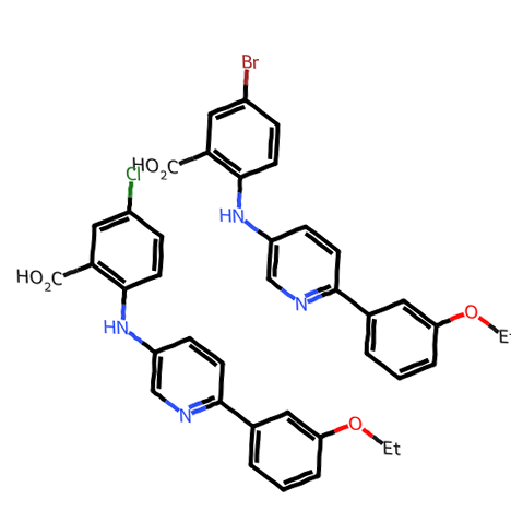 CCOc1cccc(-c2ccc(Nc3ccc(Br)cc3C(=O)O)cn2)c1.CCOc1cccc(-c2ccc(Nc3ccc(Cl)cc3C(=O)O)cn2)c1